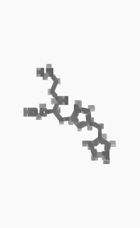 NCCN[C@@H](Cc1cn(Cc2cncs2)cn1)C(=O)O